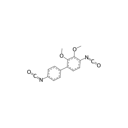 COc1c(N=C=O)ccc(-c2ccc(N=C=O)cc2)c1OC